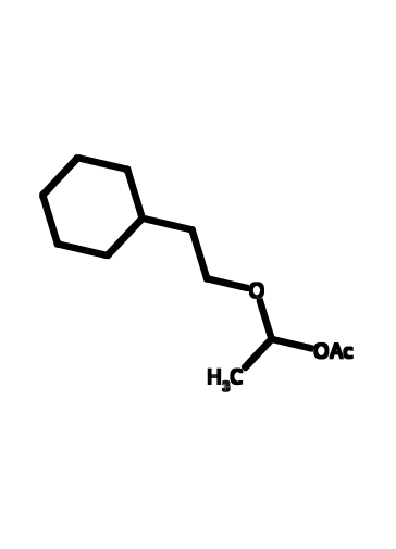 CC(=O)OC(C)OCCC1CCCCC1